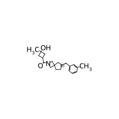 Cc1cccc(C[C@H]2CCC3(C2)CN(C(=O)C2CC(C)(O)C2)C3)c1